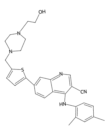 Cc1ccc(Nc2c(C#N)cnc3cc(-c4ccc(CN5CCN(CCO)CC5)s4)ccc23)c(C)c1